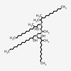 CCCCCCCCCCCCC(O)CN(CCN(C)CCN(CC(C)C(C)CCCCCCCCCC)CC(O)C(C)CCCCCCCCCC)CC(O)C(C)CCCCCCCCCC